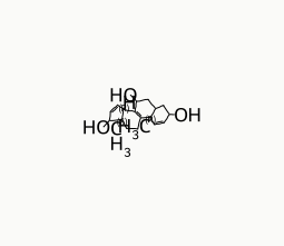 C[C@]12C=CC(O)CC1CC(O)C1=C2CC[C@]2(C)C(O)C=C[C@@H]12